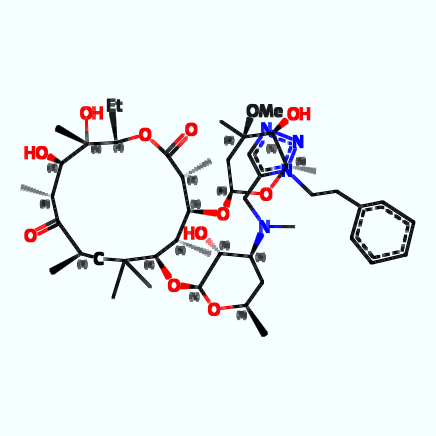 CC[C@H]1OC(=O)[C@H](C)[C@@H](O[C@H]2C[C@@](C)(OC)[C@@H](O)[C@H](C)O2)[C@H](C)[C@@H](O[C@@H]2O[C@H](C)C[C@H](N(C)Cc3cnnn3CCc3ccccc3)[C@H]2O)C(C)(C)C[C@@H](C)C(=O)[C@H](C)[C@@H](O)[C@]1(C)O